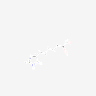 O=C(O)CCCCCC1C=NN=N1